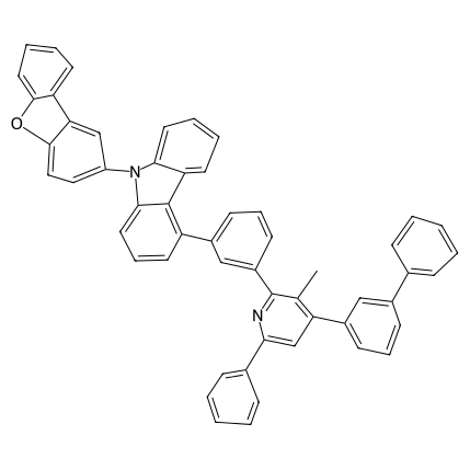 Cc1c(-c2cccc(-c3ccccc3)c2)cc(-c2ccccc2)nc1-c1cccc(-c2cccc3c2c2ccccc2n3-c2ccc3oc4ccccc4c3c2)c1